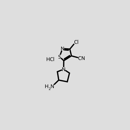 Cl.N#Cc1c(Cl)nsc1N1CCC(N)C1